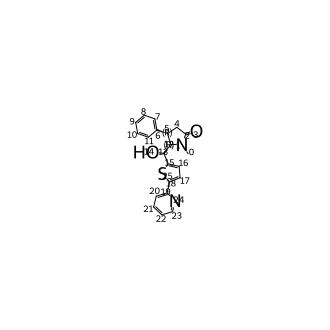 CN1C(=O)C[C@H](c2ccccc2)[C@@H]1C(O)c1ccc(-c2ccccn2)s1